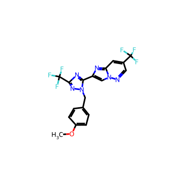 COc1ccc(Cn2nc(C(F)(F)F)nc2-c2cn3ncc(C(F)(F)F)cc3n2)cc1